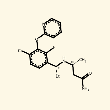 CC[C@@H](N[C@H](C)CC(N)=O)c1ccc(Cl)c(Oc2ccccn2)c1F